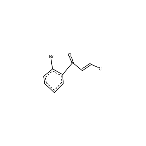 O=C(/C=C/Cl)c1ccccc1Br